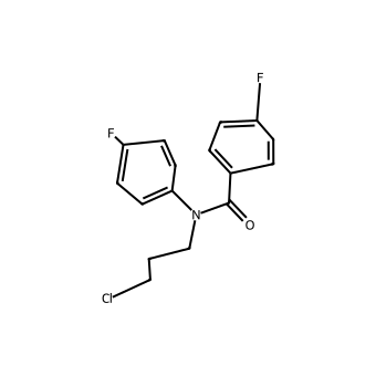 O=C(c1ccc(F)cc1)N(CCCCl)c1ccc(F)cc1